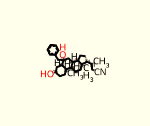 C[C@H](CC#N)[C@H]1CC[C@H]2[C@@H]3C[C@](O)(Cc4ccccc4)[C@@H]4C[C@H](O)CC[C@]4(C)[C@H]3CC[C@]12C